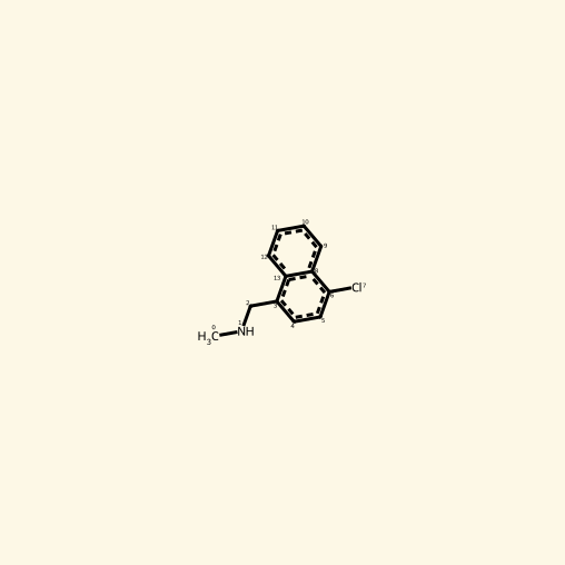 CNCc1ccc(Cl)c2ccccc12